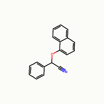 N#CC(Oc1cccc2ccccc12)c1ccccc1